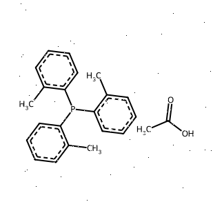 CC(=O)O.Cc1ccccc1P(c1ccccc1C)c1ccccc1C